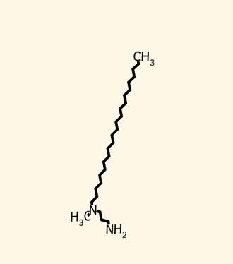 CCCCCCCCCCCCCCCCCCCCCCCN(C)CCCN